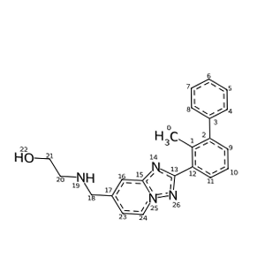 Cc1c(-c2ccccc2)cccc1-c1nc2cc(CNCCO)ccn2n1